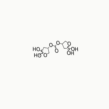 O=C(OC1COS(O)(O)C1)OC1COS(O)(O)C1